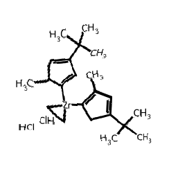 CC1=[C]([Zr]2([C]3=CC(C(C)(C)C)=CC3C)[CH2][CH2]2)CC(C(C)(C)C)=C1.Cl.Cl